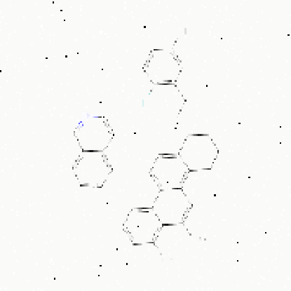 COc1cccc2c1c(OC)cc1c3c(ccc12)[C@H](CCc1cc(C(F)(F)F)ccc1F)CCC3.c1ccc2cnccc2c1